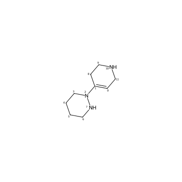 C1=C(N2CCCCN2)CCNC1